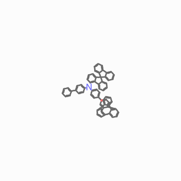 c1ccc(-c2ccc(N(c3ccc(-c4ccc5c(c4)-c4c6cccc4-c4cccc-5c4-c4ccccc4-6)cc3)c3cccc4c3-c3ccccc3C43c4ccccc4-c4ccccc43)cc2)cc1